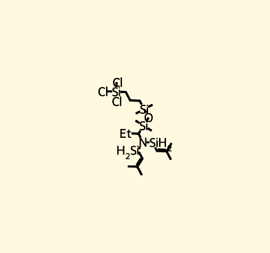 CCC(N([SiH2]C=C(C)C)[SiH2]C=C(C)C)[Si](C)(C)O[Si](C)(C)CCC[Si](Cl)(Cl)Cl